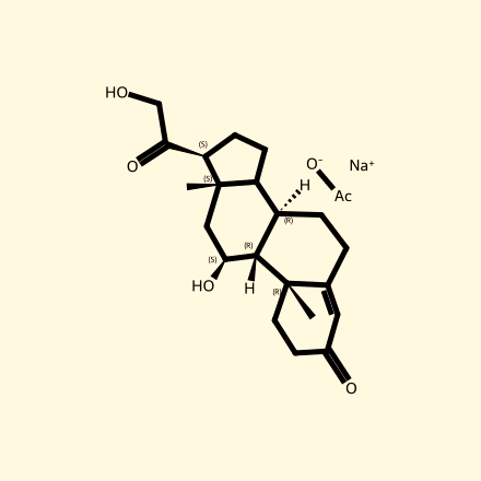 CC(=O)[O-].C[C@]12CCC(=O)C=C1CC[C@@H]1C3CC[C@H](C(=O)CO)[C@@]3(C)C[C@H](O)[C@H]12.[Na+]